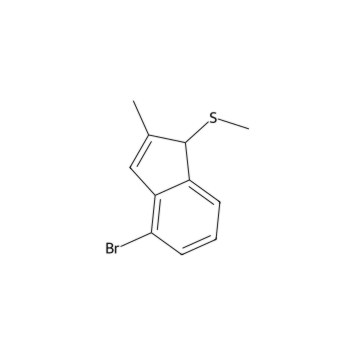 CSC1C(C)=Cc2c(Br)cccc21